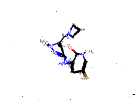 Cn1nc(Nc2cc(Br)cn(C)c2=O)cc1CN1CCC1